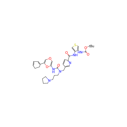 CC(C)(C)OC(=O)Nc1cscc1NC(=O)c1ccc(CN(CCCN2CCCC2)C(=O)NC2=COC=C(C3=CC=CCC3)O2)cn1